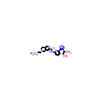 COCCN1CCc2cnc(C(=O)Nc3cccc(-c4nnnn4[C@H](C)CO)n3)cc2C1